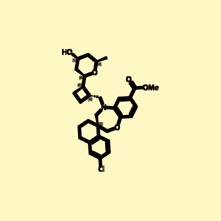 COC(=O)c1ccc2c(c1)N(C[C@@H]1CC[C@H]1[C@H]1C[C@@H](O)C[C@@H](C)O1)C[C@@]1(CCCc3cc(Cl)ccc31)CO2